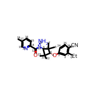 CCc1cc(O[C@H]2C(C)(C)[C@H](N(N)C(=O)c3ccc(C)cn3)C2(C)C)ccc1C#N